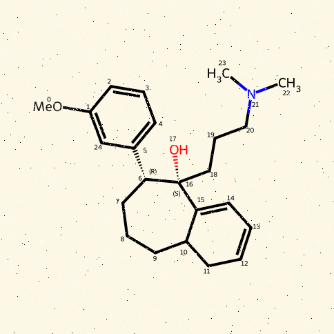 COc1cccc([C@H]2CCCC3CC=CC=C3[C@]2(O)CCCN(C)C)c1